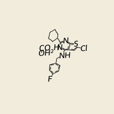 Fc1ccc(CNc2nc(C3CCCCC3)nc3sc(Cl)cc23)cc1.O=C(O)O